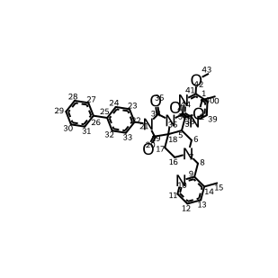 CCOC(=O)C1CN(Cc2ncccc2C)CCC12C(=O)N(c1ccc(-c3ccccc3)cc1)C(=O)N2c1nccc(OC)n1